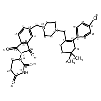 CC1(C)CCC(CN2CCN(Cc3ccc4c(c3)C(=O)N(N3CCC(=O)NC3=O)C4=O)CC2)=C(c2ccc(Cl)cc2)C1